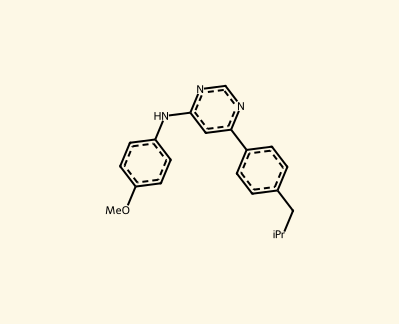 COc1ccc(Nc2cc(-c3ccc(CC(C)C)cc3)ncn2)cc1